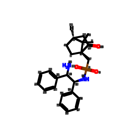 CC1(C)[C@H]2CC[C@@]1(CS(=O)(=O)N[C@@H](c1ccccc1)C(N)c1ccccc1)C(=O)C2